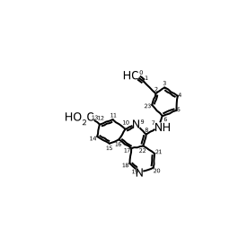 C#Cc1cccc(Nc2nc3cc(C(=O)O)ccc3c3cnccc23)c1